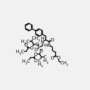 CCOC(=O)CCCNC(=O)C(Cc1ccc(-c2ccccc2)cc1)NCP(=O)(OC(OC(=O)CC)C(C)C)OC(OC(=O)CC)C(C)C